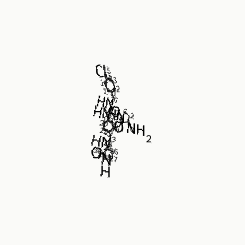 NC1CCNC1=O.O=C(NCc1ccc(Cl)cc1)Nc1ccc(CNC2CCNC2=O)cc1